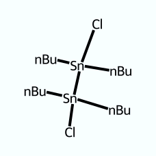 CCC[CH2][Sn]([Cl])([CH2]CCC)[Sn]([Cl])([CH2]CCC)[CH2]CCC